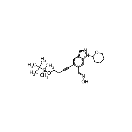 CC(C)(C)[Si](C)(C)OCCC#Cc1cc2cnn(C3CCCCO3)c2cc1/C=N/O